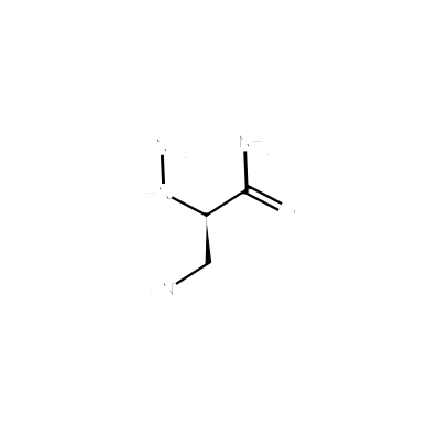 NC[C@@H](NN)C(N)=O